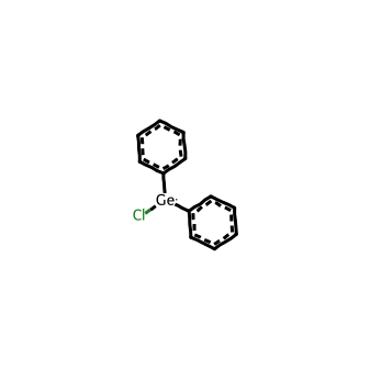 [Cl][Ge]([c]1ccccc1)[c]1ccccc1